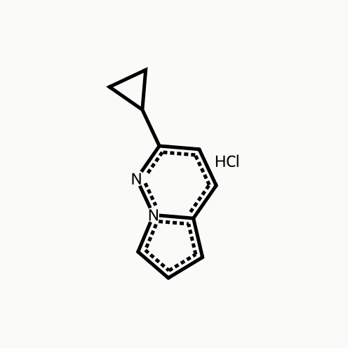 Cl.c1cc2ccc(C3CC3)nn2c1